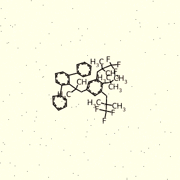 CC(C)(C)c1c(CC(C)(C)C(F)(F)F)cc(CC(C)(C)c2c(-c3ccccc3)cccc2-c2ccccc2)cc1CC(C)(C)C(F)(F)F